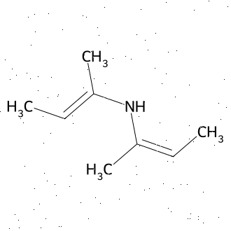 CC=C(C)NC(C)=CC